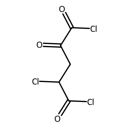 O=C(Cl)C(=O)CC(Cl)C(=O)Cl